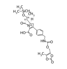 Cc1oc(=O)oc1COC(=O)NCc1ccc(C2=C(C(=O)O)N3C(=O)[C@H]([C@@H](C)O[Si](C)(C)C)[C@H]3C2)cc1